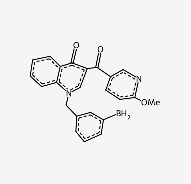 Bc1cccc(Cn2cc(C(=O)c3ccc(OC)nc3)c(=O)c3ccccc32)c1